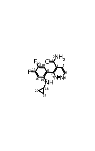 NC(=O)c1ccnnc1-c1cc(F)c(F)cc1NC1CC1